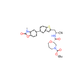 Cn1c(=O)oc2ccc(-c3ccc4sc(CC(C#N)NC(=O)[C@@H]5CN(C(=O)OC(C)(C)C)CCCO5)cc4c3)cc21